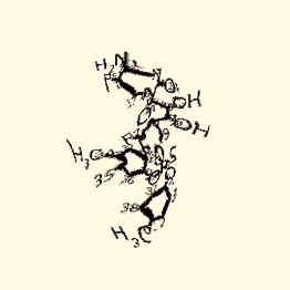 Cc1ccc(OP(=S)(OC[C@@]2(C(F)F)O[C@@H](n3cc(F)c(N)nc3=O)[C@H](O)[C@@H]2O)Oc2ccc(C)cc2)cc1